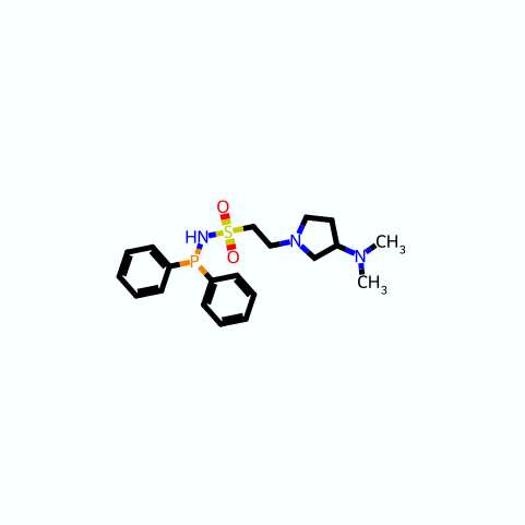 CN(C)C1CCN(CCS(=O)(=O)NP(c2ccccc2)c2ccccc2)C1